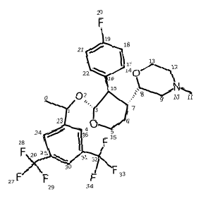 CC(O[C@H]1OCC[C@@H](C2CN(C)CCO2)[C@@H]1c1ccc(F)cc1)c1cc(C(F)(F)F)cc(C(F)(F)F)c1